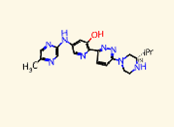 Cc1cnc(Nc2cnc(-c3ccc(N4CCN[C@@H](C(C)C)C4)nn3)c(O)c2)cn1